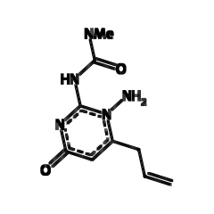 C=CCc1cc(=O)nc(NC(=O)NC)n1N